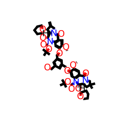 C=C1C[C@H]2C(OC3CCCCO3)N(C(=O)OC(C)(C)C)c3cc(OCc4cc(C=O)cc(COc5cc6c(cc5OC)C(=O)N5CC(C)(C)C[C@H]5[C@H](OC5CCCCO5)N6C(=O)OC(C)(C)C)c4)c(OC)cc3C(=O)N2C1